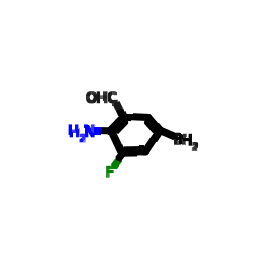 Bc1cc(F)c(N)c(C=O)c1